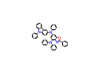 c1ccc(-c2nc3c(N(c4ccccc4)c4ccccc4)cc(N(c4ccccc4)c4ccc5c(c4)c4ccccc4n5-c4ccccc4)cc3o2)cc1